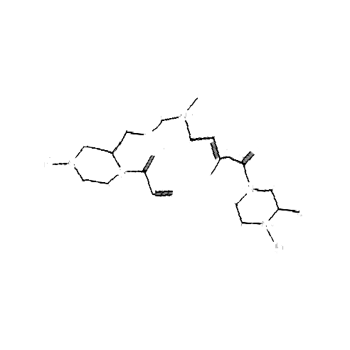 C=CC(=O)N1CCN(C(C)C)CC1COCN(C)C/C=C(\F)C(=O)N1CCN(C(C)C)C(C)C1